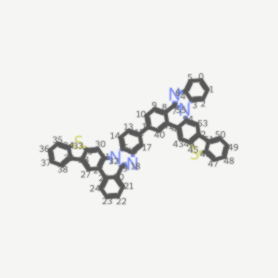 c1ccc2c(c1)nc1c3ccc(-c4ccc5c(c4)nc4c6ccccc6c6cc7c(cc6n54)sc4ccccc47)cc3c3cc4sc5ccccc5c4cc3n21